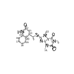 CN1C(=O)C2C(N=C(SCc3cc(=O)[nH]c4ccccc34)N2C)N(C)C1=O